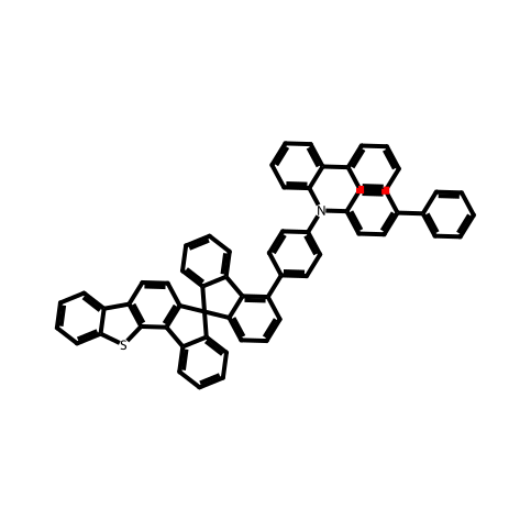 c1ccc(-c2ccc(N(c3ccc(-c4cccc5c4-c4ccccc4C54c5ccccc5-c5c4ccc4c5sc5ccccc54)cc3)c3ccccc3-c3ccccc3)cc2)cc1